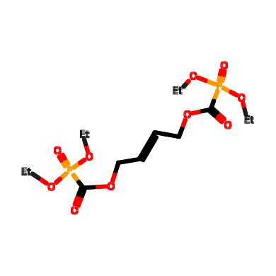 CCOP(=O)(OCC)C(=O)OCC=CCOC(=O)P(=O)(OCC)OCC